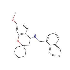 COc1ccc2c(c1)OC1(CCCCC1)C[C@H]2NCc1cccc2ccccc12